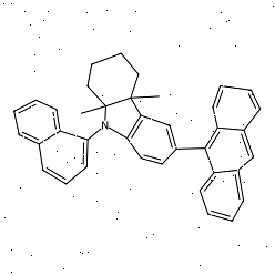 CC12CCCCC1(C)N(c1cccc3ccccc13)c1ccc(-c3c4ccccc4cc4ccccc34)cc12